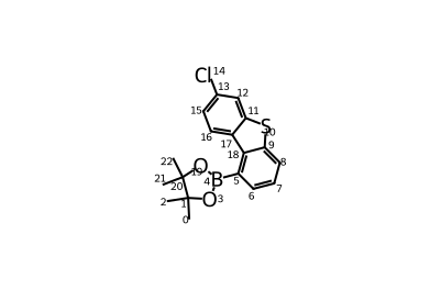 CC1(C)OB(c2cccc3sc4cc(Cl)ccc4c23)OC1(C)C